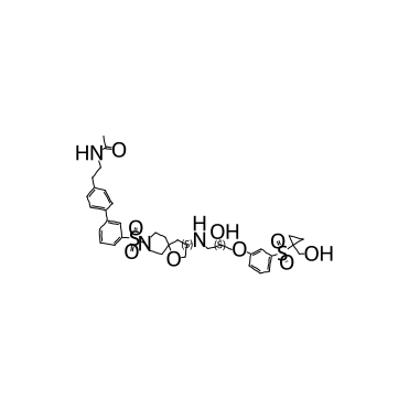 CC(=O)NCCc1ccc(-c2cccc(S(=O)(=O)N3CCC4(CC3)C[C@H](NC[C@H](O)COc3cccc(S(=O)(=O)C5(CO)CC5)c3)CO4)c2)cc1